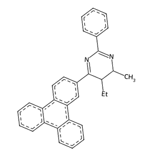 CCC1C(c2ccc3c4ccccc4c4ccccc4c3c2)=NC(c2ccccc2)=NC1C